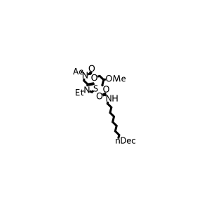 CCCCCCCCCCCCCCCCCCNC(=O)OCC(COC(=O)N(CC1=CSCN1CC)C(C)=O)OC